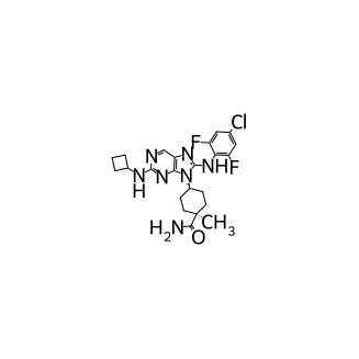 C[C@]1(C(N)=O)CC[C@@H](n2c(Nc3c(F)cc(Cl)cc3F)nc3cnc(NC4CCC4)nc32)CC1